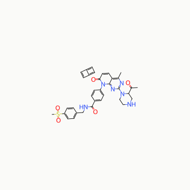 CC(=O)C1CNCCN1c1nc(C)c2ccc(=O)n(-c3ccc(C(=O)NCc4ccc(S(C)(=O)=O)cc4)cc3)c2n1.c1cc2ccc1-2